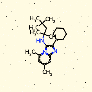 Cc1cc(C)n2c(NC(C)(C)CC(C)(C)C)c(C3CCCCC3)nc2c1